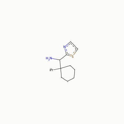 CC(C)C1(C(N)c2nccs2)C[CH]CCC1